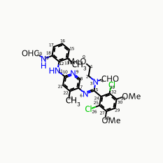 COCCN(C=O)/C(=N\c1cnc(Nc2c(C)cccc2NC=O)cc1C)c1c(Cl)c(OC)cc(OC)c1Cl